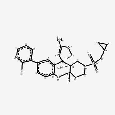 NC1=N[C@]2(CO1)c1cc(-c3cccnc3F)ccc1O[C@H]1CCN(S(=O)(=O)CC3CC3)C[C@@H]12